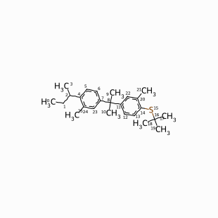 CCC(C)c1ccc(C(C)(C)c2ccc(SC(C)(C)C)c(C)c2)cc1C